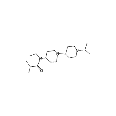 CCN(C(=O)C(C)C)C1CCN(C2CCN(C(C)C)CC2)CC1